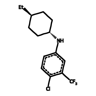 CC[C@H]1CC[C@H](Nc2ccc(Cl)c(C(F)(F)F)c2)CC1